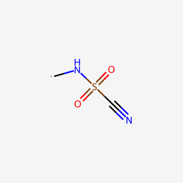 [CH2]NS(=O)(=O)C#N